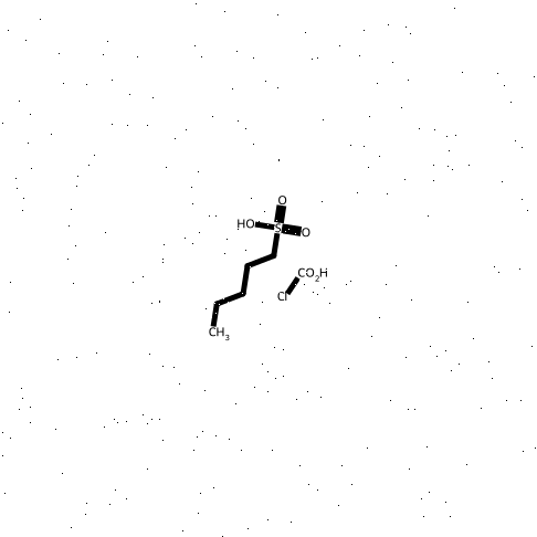 CCCCCS(=O)(=O)O.O=C(O)Cl